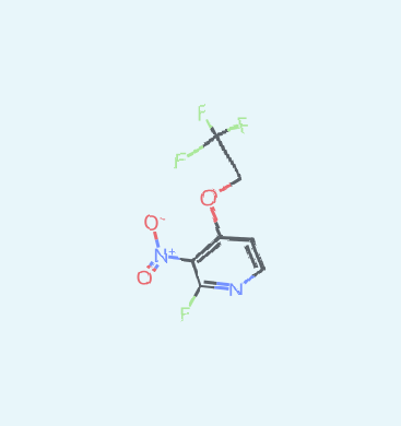 O=[N+]([O-])c1c(OCC(F)(F)F)ccnc1F